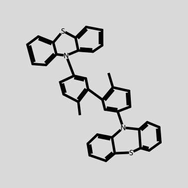 Cc1ccc(N2c3ccccc3Sc3ccccc32)cc1-c1cc(N2c3ccccc3Sc3ccccc32)ccc1C